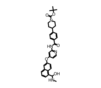 CNC(O)c1cccc2cc(Oc3ccnc(NC(=O)c4ccc(C5CCN(C(=O)OC(C)(C)C)CC5)cc4)c3)ccc12